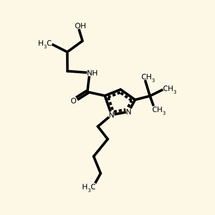 CCCCCn1nc(C(C)(C)C)cc1C(=O)NCC(C)CO